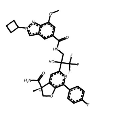 COc1cc(C(=O)NCC(O)(c2cc3c(c(-c4ccc(F)cc4)n2)OC[C@]3(C)C(N)=O)C(F)(F)F)cc2cn(C3CCC3)nc12